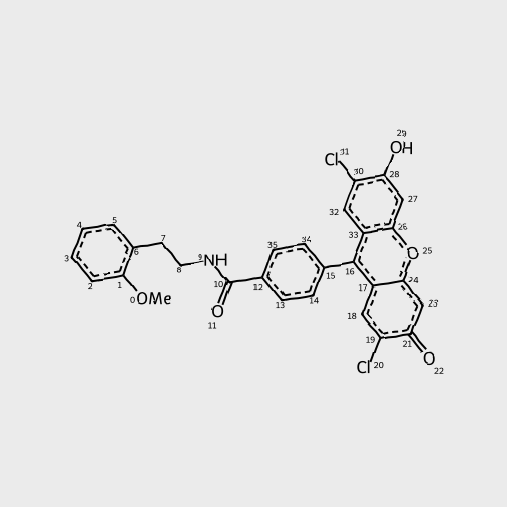 COc1ccccc1CCNC(=O)c1ccc(-c2c3cc(Cl)c(=O)cc-3oc3cc(O)c(Cl)cc23)cc1